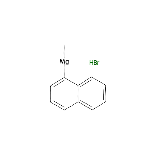 Br.[CH3][Mg][c]1cccc2ccccc12